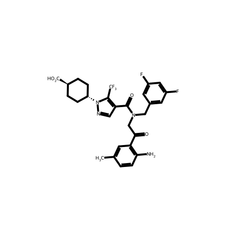 Cc1ccc(N)c(C(=O)CN(Cc2cc(F)cc(F)c2)C(=O)c2cnn([C@H]3CC[C@H](C(=O)O)CC3)c2C(F)(F)F)c1